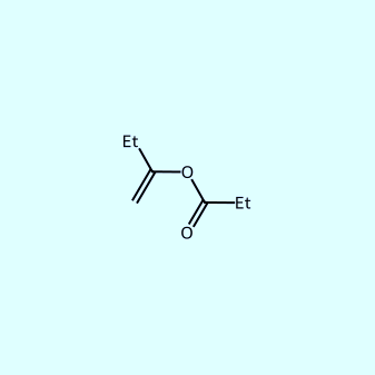 C=C(CC)OC(=O)CC